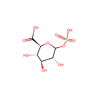 O=C(O)[C@H]1OC(OS(=O)(=O)O)[C@H](O)[C@@H](O)[C@@H]1O